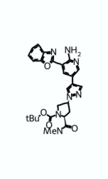 CNC(=O)[C@@H]1C[C@@H](n2cc(-c3cnc(N)c(-c4nc5ccccc5o4)c3)cn2)CN1C(=O)OC(C)(C)C